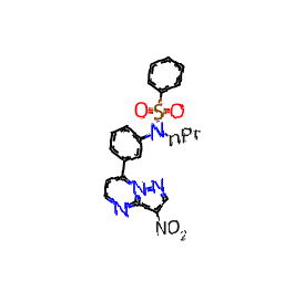 CCCN(c1cccc(-c2ccnc3c([N+](=O)[O-])cnn23)c1)S(=O)(=O)c1ccccc1